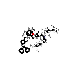 BOC(=O)C1=C(C[N+]2(C)[C@@H]3CC[C@H]2C[C@@H](NC(=O)c2ccc4c(c2F)OC(c2ccccc2)(c2ccccc2)O4)C3)CS[C@@H]2[C@H](NC(=O)/C(=N\OC(C)(C)C(=O)OC(C)(C)C)c3csc(NC(=O)OC(C)(C)C)n3)C(=O)N12